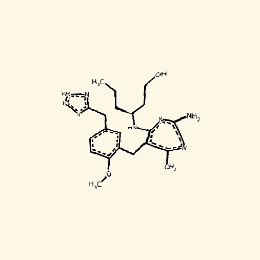 CCC[C@@H](CCO)Nc1nc(N)nc(C)c1Cc1cc(Cc2nn[nH]n2)ccc1OC